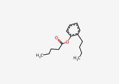 CCCCC(=O)Oc1ccccc1CCCC